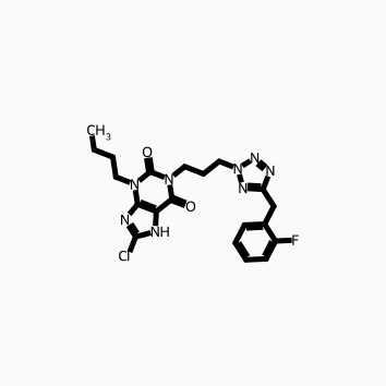 CCCCn1c(=O)n(CCCn2nnc(Cc3ccccc3F)n2)c(=O)c2[nH]c(Cl)nc21